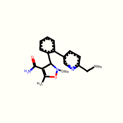 CNCc1ccc(-c2ccccc2C2C(C(N)=O)=C(C)ON2OC)cn1